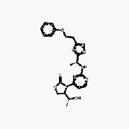 C[C@H](Nc1nccc(N2C(=O)OC[C@@H]2[C@@H](C)O)n1)c1nc(CCOc2ccccc2)no1